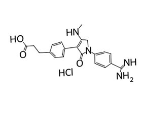 CNC1=C(c2ccc(CCC(=O)O)cc2)C(=O)N(c2ccc(C(=N)N)cc2)C1.Cl